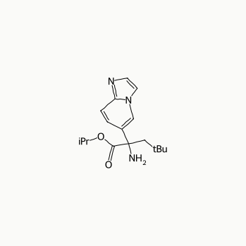 CC(C)OC(=O)C(N)(CC(C)(C)C)c1ccc2nccn2c1